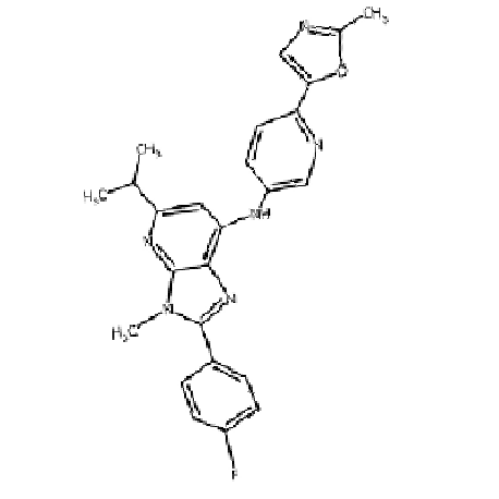 Cc1ncc(-c2ccc(Nc3cc(C(C)C)nc4c3nc(-c3ccc(F)cc3)n4C)cn2)o1